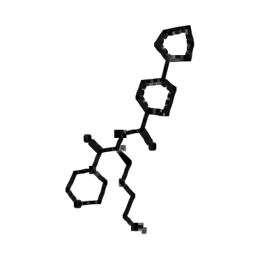 NCCSC[C@H](NC(=O)c1ccc(-c2ccccc2)cc1)C(=O)N1CCOCC1